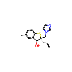 C=CC[C@@]1(Cn2ccnc2)Sc2ccc(C)cc2[C@@H]1O